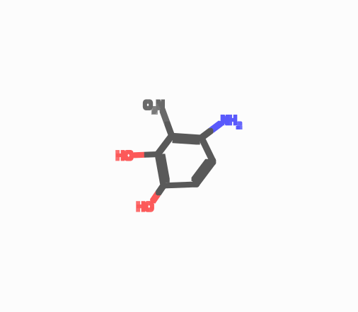 Nc1ccc(O)c(O)c1[N+](=O)[O-]